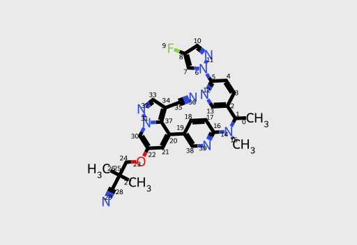 CC(c1ccc(-n2cc(F)cn2)nc1)N(C)c1ccc(-c2cc(OCC(C)(C)C#N)cn3ncc(C#N)c23)cn1